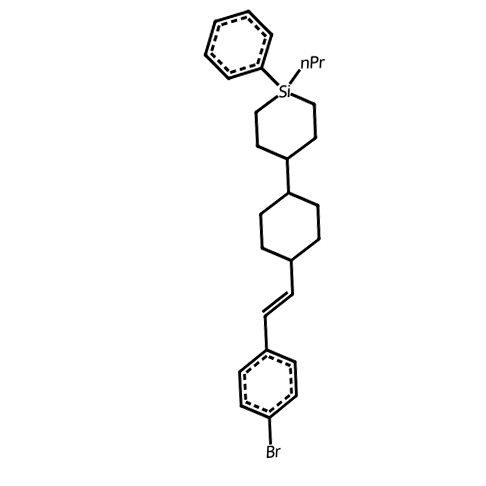 CCC[Si]1(c2ccccc2)CCC(C2CCC(C=Cc3ccc(Br)cc3)CC2)CC1